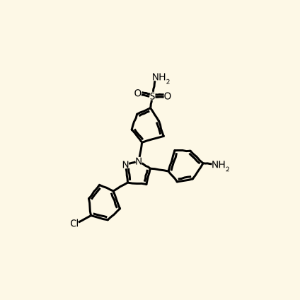 Nc1ccc(-c2cc(-c3ccc(Cl)cc3)nn2-c2ccc(S(N)(=O)=O)cc2)cc1